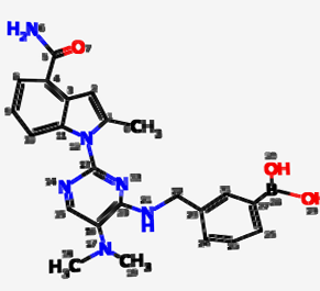 Cc1cc2c(C(N)=O)cccc2n1-c1ncc(N(C)C)c(NCc2cccc(B(O)O)c2)n1